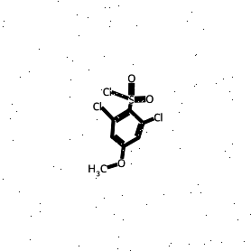 COc1cc(Cl)c(S(=O)(=O)Cl)c(Cl)c1